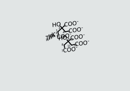 O=C([O-])CC(O)(CC(=O)[O-])C(=O)[O-].O=C([O-])CC(O)(CC(=O)[O-])C(=O)[O-].[K+].[K+].[Ti+4]